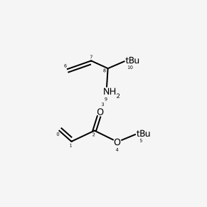 C=CC(=O)OC(C)(C)C.C=CC(N)C(C)(C)C